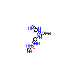 COc1cnc(-c2ccc3cc(C(=O)Nc4ccnnc4)[nH]c3c2)nc1Nc1ccc2[nH]ncc2c1